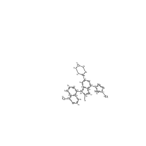 CCc1nnc(-c2cc(N3CCOCC3)cc3c2nc(C)n3-c2ccnc3c(Cl)cccc23)[nH]1